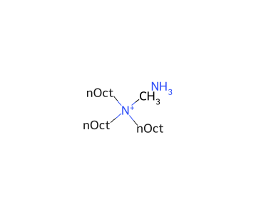 CCCCCCCC[N+](C)(CCCCCCCC)CCCCCCCC.N